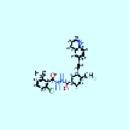 Cc1ccc(C(=O)NNC(=O)c2c(C)cccc2Cl)cc1C#Cc1ccc2ncccc2c1